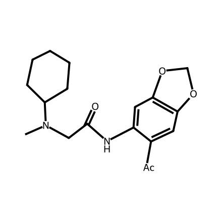 CC(=O)c1cc2c(cc1NC(=O)CN(C)C1CCCCC1)OCO2